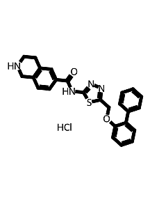 Cl.O=C(Nc1nnc(COc2ccccc2-c2ccccc2)s1)c1ccc2c(c1)CCNC2